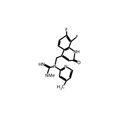 CNC(=N)N(Cc1cc(=O)[nH]c2c(F)c(F)ccc12)c1cc(C)ccn1